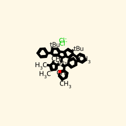 CC1=C(C)C(C)[C]([Zr+2](=[C](c2ccc(C)cc2)c2ccc(C)cc2)[CH]2c3cc(-c4ccccc4)c(C(C)(C)C)cc3-c3cc(C(C)(C)C)c(-c4ccccc4)cc32)=C1C.[Cl-].[Cl-]